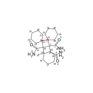 CC1(C(CC(N)=O)(C(N)=O)C(C(N)=O)(C2(C)CCCCC2)C2(C)CCCCC2)CCCCC1